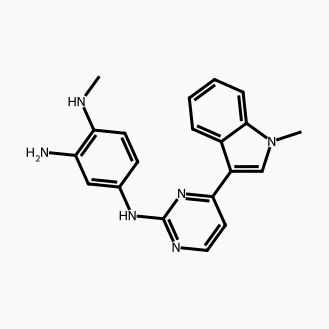 CNc1ccc(Nc2nccc(-c3cn(C)c4ccccc34)n2)cc1N